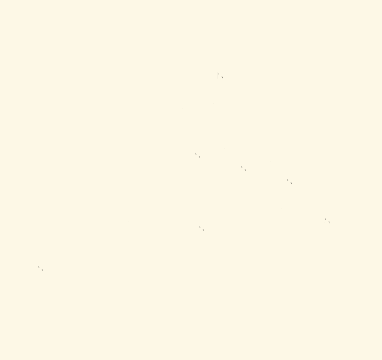 NC(=O)c1cc(F)c(NC2CCCCC2N)nc1Nc1cncc(-c2ccc3cnccc3c2)c1